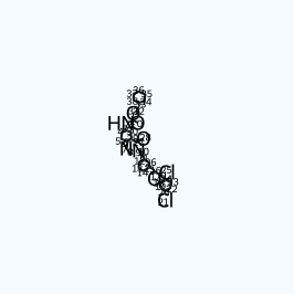 O=C(Nc1ccc2ncn(Cc3cccc(COc4cc(Cl)ccc4Cl)c3)c(=O)c2c1)OCc1ccccc1